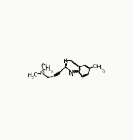 Cc1ccc2nc(C#CCN(C)C)ncc2c1